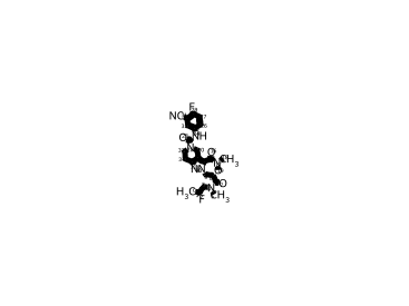 CC(F)CN(C)C(=O)C1Cn2nc3c(c2C(=O)N(C)O1)CN(C(=O)Nc1ccc(F)c(C#N)c1)CC3